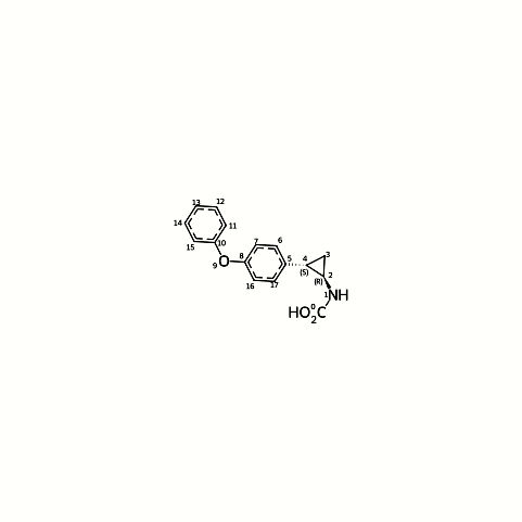 O=C(O)N[C@@H]1C[C@H]1c1ccc(Oc2ccccc2)cc1